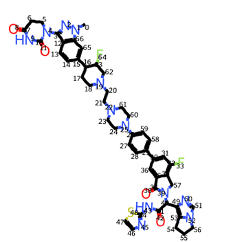 Cn1nc(N2CCC(=O)NC2=O)c2ccc(C3CCN(CCN4CCN(c5ccc(-c6cc(F)c7c(c6)C(=O)N(C(C(=O)Nc6nccs6)c6ncn8c6CCC8)C7)cc5)CC4)CC3F)cc21